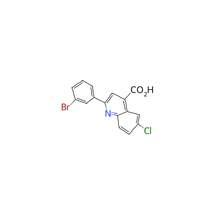 O=C(O)c1cc(-c2cccc(Br)c2)nc2ccc(Cl)cc12